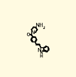 NC1CCN(C(=O)c2ccc(C=Cc3n[nH]c4ccccc34)cc2)CC1